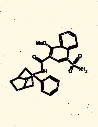 COc1c(C(=O)NC2CC3CCC(C2)N3Cc2ccccc2)cc(S(N)(=O)=O)c2ccccc12